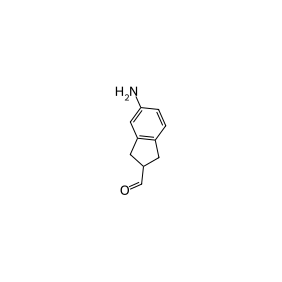 Nc1ccc2c(c1)CC(C=O)C2